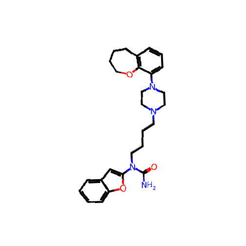 NC(=O)N(CCCCN1CCN(c2cccc3c2OCCCC3)CC1)c1cc2ccccc2o1